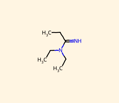 CCC(=N)N(CC)CC